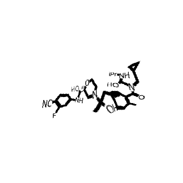 Cc1ccc(CC(C)(O)N2CCO[C@@H](C(O)Nc3ccc(C#N)c(F)c3)C2)cc1C(=O)N(CC1CC1)C(O)NC(C)C